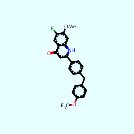 COc1cc2[nH]c(-c3ccc(Cc4ccc(OC(F)(F)F)cc4)cc3)cc(=O)c2cc1F